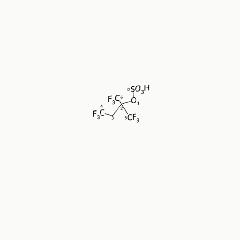 O=S(=O)(O)OC(CC(F)(F)F)(C(F)(F)F)C(F)(F)F